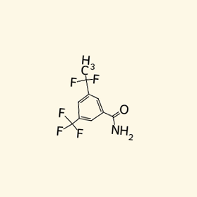 CC(F)(F)c1cc(C(N)=O)cc(C(F)(F)F)c1